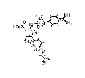 C[C@H](NC(=O)c1ccc(C(=N)N)cc1)C(=O)N[C@@H](CC(=O)O)C(=O)C(CN)c1ccc(OCC(=O)O)cc1